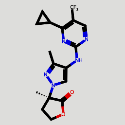 Cc1nn([C@]2(C)CCOC2=O)cc1Nc1ncc(C(F)(F)F)c(C2CC2)n1